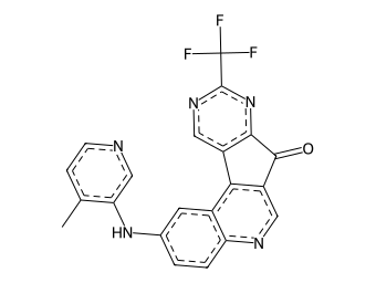 Cc1ccncc1Nc1ccc2ncc3c(c2c1)-c1cnc(C(F)(F)F)nc1C3=O